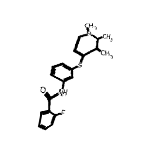 CC1C(Sc2cccc(NC(=O)c3ccccc3F)c2)CCN(C)C1C